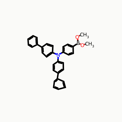 COB(OC)c1ccc(N(c2ccc(-c3ccccc3)cc2)c2ccc(-c3ccccc3)cc2)cc1